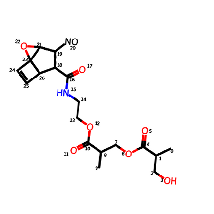 CC(CO)C(=O)OCC(C)C(=O)OCCNC(=O)C1C(N=O)C2OC23C=CC13